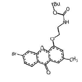 Cc1cc(OCCNC(=O)OC(C)(C)C)c2oc3cc(Br)ccc3c(=O)c2c1